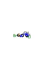 CN(c1ccc(Cl)nn1)C1CCN(Cc2cc(Br)cs2)CC1